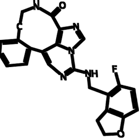 O=C1NCCc2ccccc2-c2cnc(NCc3c(F)ccc4c3CCO4)n3cnc1c23